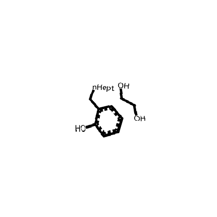 CCCCCCCCc1ccccc1O.OCCO